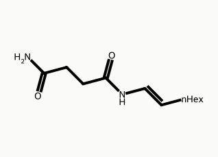 CCCCCCC=CNC(=O)CCC(N)=O